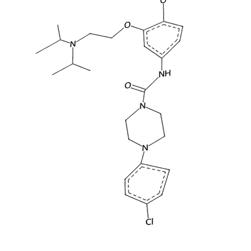 COc1ccc(NC(=O)N2CCN(c3ccc(Cl)cc3)CC2)cc1OCCN(C(C)C)C(C)C